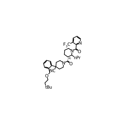 CCCC1[C@H](C(=O)N2CCC(C#N)(c3ccccc3COCCC(C)(C)C)CC2)CCCN1C(=O)c1ncccc1C(F)(F)F